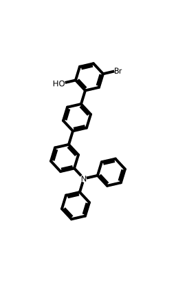 Oc1ccc(Br)cc1-c1ccc(-c2cccc(N(c3ccccc3)c3ccccc3)c2)cc1